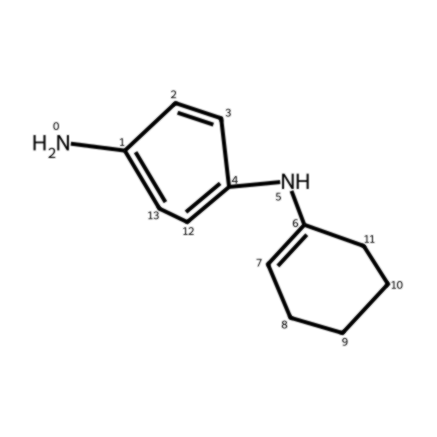 Nc1ccc(NC2=CCCCC2)cc1